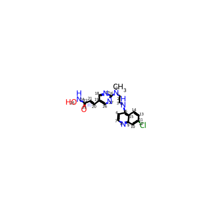 CN(CCNc1ccnc2cc(Cl)ccc12)c1ncc(/C=C/C(=O)NO)cn1